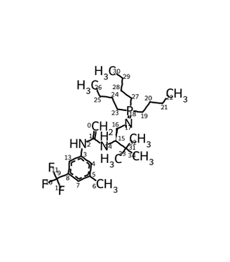 C=C(Nc1cc(C)cc(C(F)(F)F)c1)N[C@@H](CN=P(CCCC)(CCCC)CCCC)C(C)(C)C